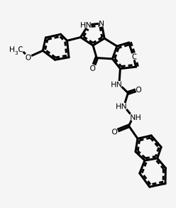 COc1ccc(-c2[nH]nc3c2C(=O)c2c(NC(=O)NNC(=O)c4ccc5ccccc5c4)cccc2-3)cc1